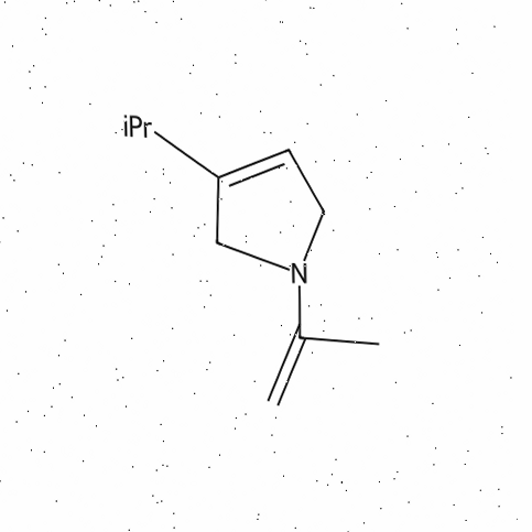 C=C(C)N1CC=C(C(C)C)C1